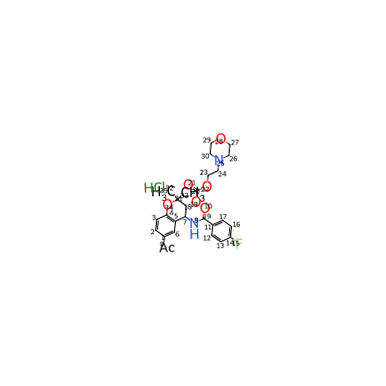 CC(=O)c1ccc2c(c1)[C@H](NC(=O)c1ccc(F)cc1)[C@@H](OC(=O)OCCN1CCOCC1)C(C)(C)O2.Cl